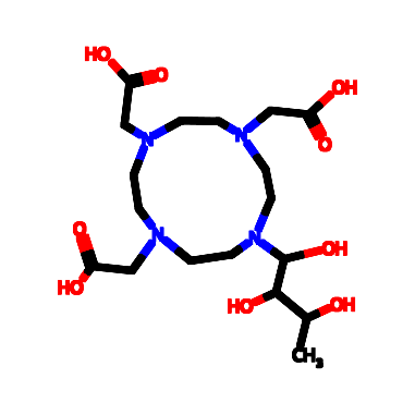 CC(O)C(O)C(O)N1CCN(CC(=O)O)CCN(CC(=O)O)CCN(CC(=O)O)CC1